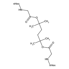 CCCCCCNCC(=O)OC(C)(C)CCC(C)(C)OC(=O)CNCCCCCC